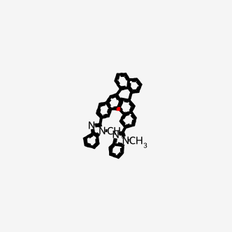 Cn1c(-c2ccc3cc(-c4cccc5cccc(-c6ccc7cc(-c8nc9ccccc9n8C)ccc7c6)c45)ccc3c2)nc2ccccc21